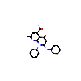 Cc1cc(C(N)=O)c2c(=O)cc(Nc3ccccc3)n(-c3ccccc3)c2n1